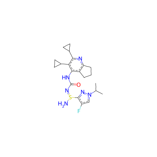 CC(C)n1cc(F)c(/S(N)=N\C(=O)Nc2c3c(nc(C4CC4)c2C2CC2)CCC3)n1